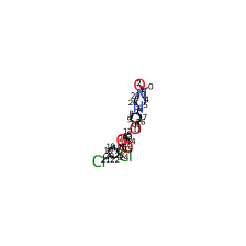 CC(=O)N1CCN(c2ccc(OC[C@H]3CO[C@H](c4ccc(Cl)cc4Cl)O3)cc2)CC1